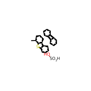 Cc1cccc2c1sc1ccccc12.O=S(=O)(O)O.c1ccc2c(c1)=c1ccccc1=2